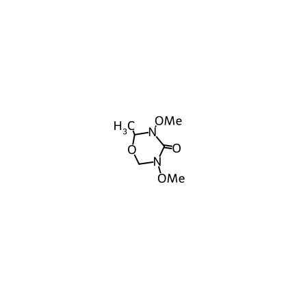 CON1COC(C)N(OC)C1=O